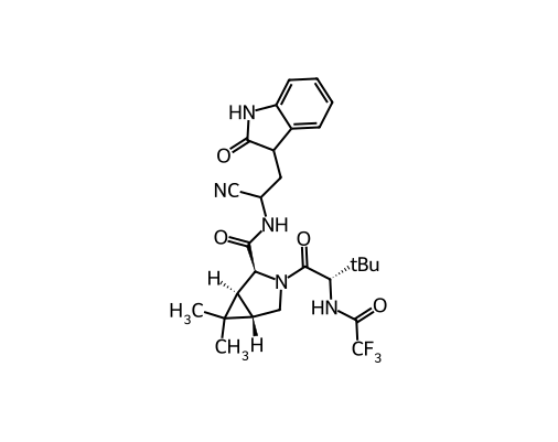 CC(C)(C)[C@H](NC(=O)C(F)(F)F)C(=O)N1C[C@H]2[C@H]([C@H]1C(=O)NC(C#N)CC1C(=O)Nc3ccccc31)C2(C)C